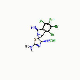 CCN(C)C1=NC(=N)C2(S1)C1c3c(Br)c(Br)c(Br)c(Br)c3C(=N)N12.Cl